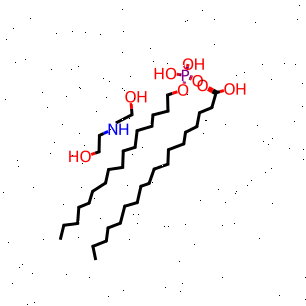 CCCCCCCCCCCCCCCCCC(=O)O.CCCCCCCCCCCCCCCCOP(=O)(O)O.OCCNCCO